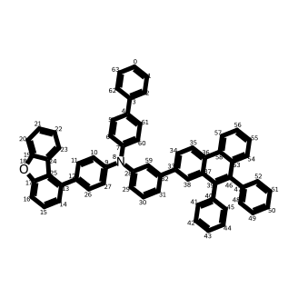 c1ccc(-c2ccc(N(c3ccc(-c4cccc5oc6ccccc6c45)cc3)c3cccc(-c4ccc5c(c4)c(-c4ccccc4)c(-c4ccccc4)c4ccccc45)c3)cc2)cc1